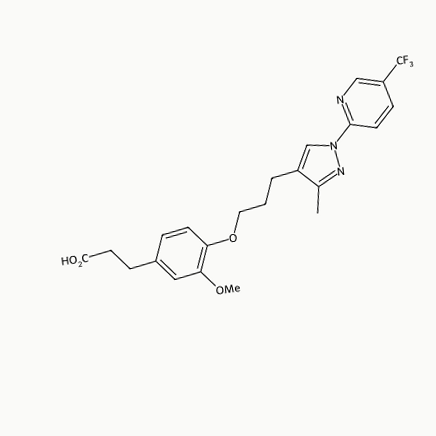 COc1cc(CCC(=O)O)ccc1OCCCc1cn(-c2ccc(C(F)(F)F)cn2)nc1C